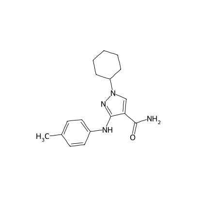 Cc1ccc(Nc2nn(C3CCCCC3)cc2C(N)=O)cc1